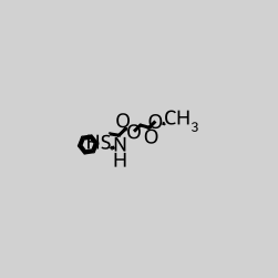 CCOC(=O)COC(=O)C1C[SH](c2ccccc2)CN1